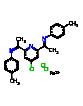 CC(=Nc1ccc(C)cc1)c1cc(Cl)cc(C(C)=Nc2ccc(C)cc2)n1.[Cl-].[Cl-].[Fe+2]